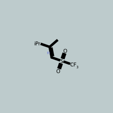 C/C(=C\S(=O)(=O)C(F)(F)F)C(C)C